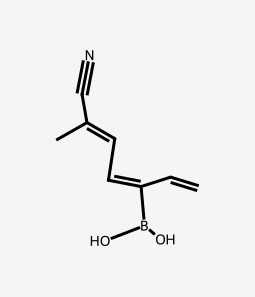 C=C/C(=C\C=C(/C)C#N)B(O)O